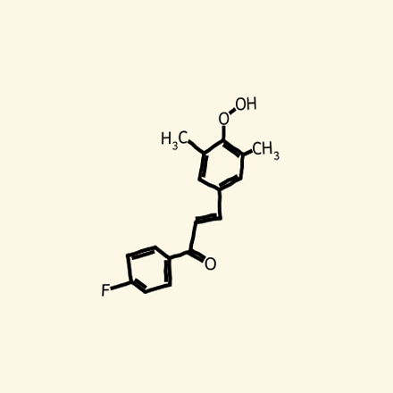 Cc1cc(C=CC(=O)c2ccc(F)cc2)cc(C)c1OO